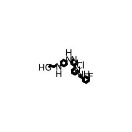 OCCCN[C@H]1CC[C@H](Nc2cc(-c3cccc(NCc4cccc(F)c4)n3)c(Cl)cn2)CC1